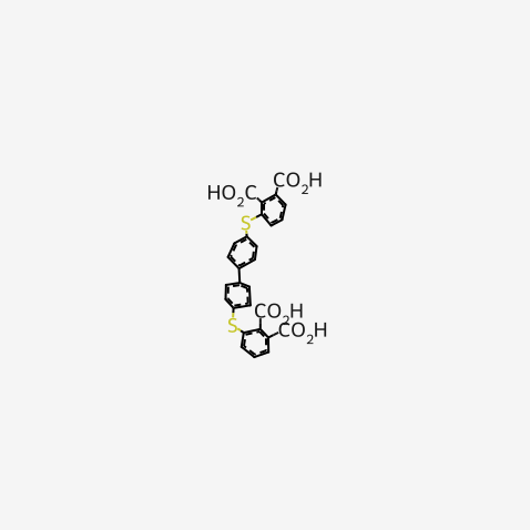 O=C(O)c1cccc(Sc2ccc(-c3ccc(Sc4cccc(C(=O)O)c4C(=O)O)cc3)cc2)c1C(=O)O